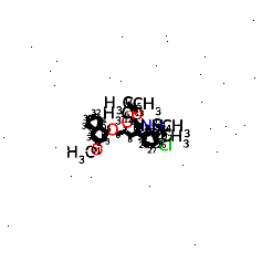 COc1cc(OCCCc2c(C(=O)OC(C)(C)C)[nH]c3c(C(C)(C)C)c(Cl)ccc23)c2ccccc2c1